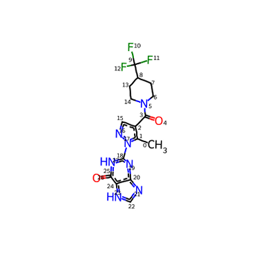 Cc1c(C(=O)N2CCC(C(F)(F)F)CC2)cnn1-c1nc2nc[nH]c2c(=O)[nH]1